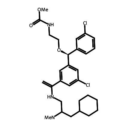 C=C(NCC(CC1CCCCC1)NC)c1cc(Cl)cc([C@@H](OCCNC(=O)OC)c2cccc(Cl)c2)c1